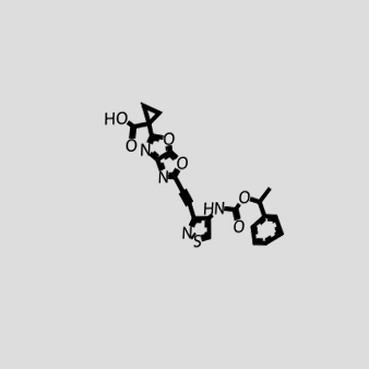 CC(OC(=O)Nc1csnc1C#Cc1nc2nc(C3(C(=O)O)CC3)oc2o1)c1ccccc1